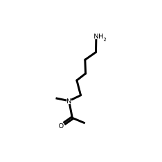 CC(=O)N(C)CCCCCN